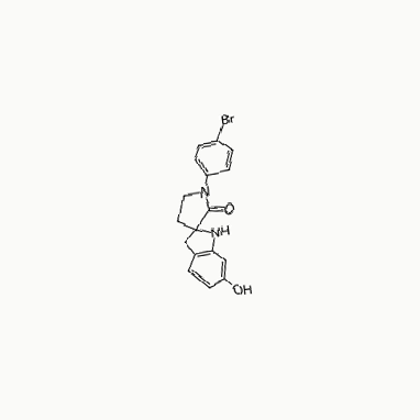 O=C1N(c2ccc(Br)cc2)CCC12Cc1ccc(O)cc1N2